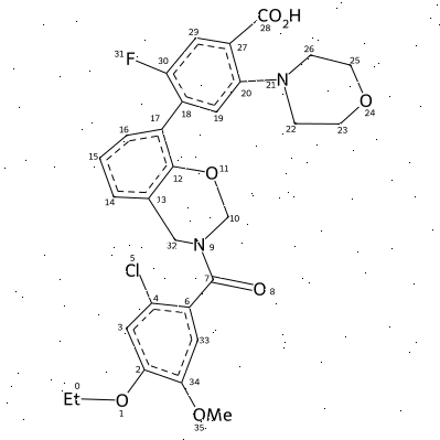 CCOc1cc(Cl)c(C(=O)N2COc3c(cccc3-c3cc(N4CCOCC4)c(C(=O)O)cc3F)C2)cc1OC